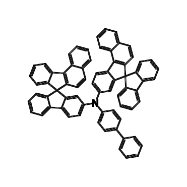 c1ccc(-c2ccc(N(c3ccc4c(c3)C3(c5ccccc5-4)c4ccccc4-c4c3ccc3ccccc43)c3ccc4c(c3)C3(c5ccccc5-c5ccccc53)c3ccc5ccccc5c3-4)cc2)cc1